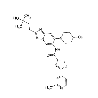 Cc1cc(-c2nc(C(=O)Nc3cn4cc(CCC(C)(C)O)nc4cc3N3CCC(O)CC3)co2)ccn1